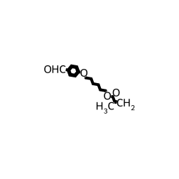 C=C(C)C(=O)OCCCCCCOc1ccc(C=O)cc1